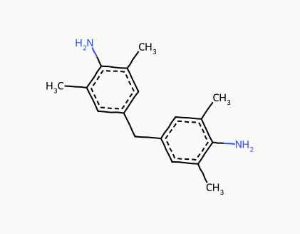 Cc1cc(Cc2cc(C)c(N)c(C)c2)cc(C)c1N